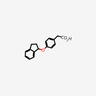 O=C(O)Cc1ccc(OC2CCc3ccccc32)cc1